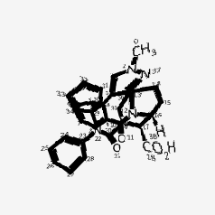 Cn1cc(-c2ccccc2C(=O)N2C3CC[C@@H]2[C@@H](C(=O)O)N(C(=O)N(c2ccccc2)c2ccccc2)C3)cn1